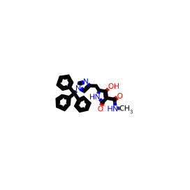 CNC(=O)C1=C(O)C(Cc2cn(C(c3ccccc3)(c3ccccc3)c3ccccc3)cn2)NC1=O